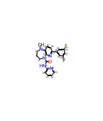 CN1CCCN(C(=O)Nc2ccccn2)c2nc(-c3cc(F)cc(F)c3)ccc21